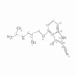 CC(C)NCC(O)COc1cccc2[nH]c(C#N)c(I)c12